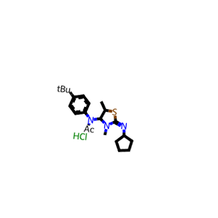 CC(=O)N(c1ccc(C(C)(C)C)cc1)C1C(C)SC(=NC2CCCC2)N1C.Cl